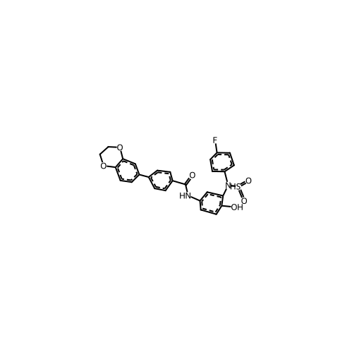 O=C(Nc1ccc(O)c(N(c2ccc(F)cc2)[SH](=O)=O)c1)c1ccc(-c2ccc3c(c2)OCCO3)cc1